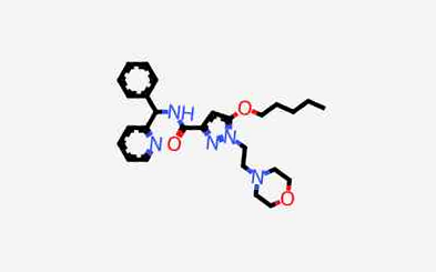 CCCCCOc1cc(C(=O)NC(c2ccccc2)c2ccccn2)nn1CCN1CCOCC1